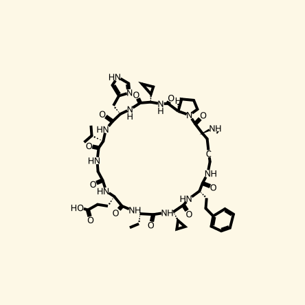 CC[C@@H]1NC(=O)[C@H](CCC(=O)O)NC(=O)CNC(=O)[C@H](C(C)C)NC(=O)[C@H](Cc2c[nH]cn2)NC(=O)[C@H](C2CC2)NC(=O)[C@H]2CCCN2C(=O)[C@@H](NC)CCCNC(=O)[C@H](CCc2ccccc2)NC(=O)[C@H](C2CC2)NC1=O